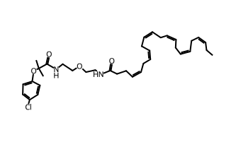 CC/C=C\C/C=C\C/C=C\C/C=C\C/C=C\C/C=C\CCC(=O)NCCOCCNC(=O)C(C)(C)Oc1ccc(Cl)cc1